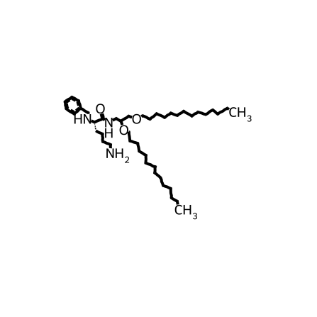 CCCCCCCCCCCCCCOCC(CNC(=O)[C@H](CCCCN)NCc1ccccc1)OCCCCCCCCCCCCCC